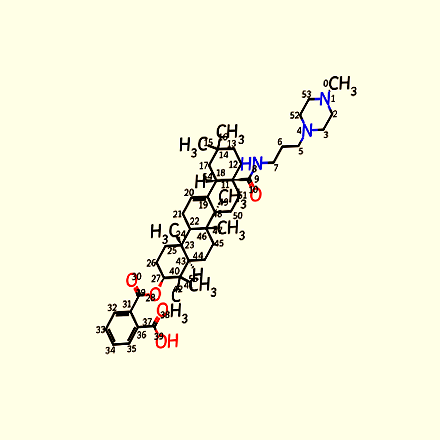 CN1CCN(CCCNC(=O)[C@]23CCC(C)(C)C[C@H]2C2=CCC4[C@@]5(C)CC[C@H](OC(=O)c6ccccc6C(=O)O)C(C)(C)[C@@H]5CC[C@@]4(C)[C@]2(C)CC3)CC1